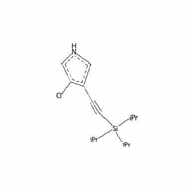 CC(C)[Si](C#Cc1c[nH]cc1Cl)(C(C)C)C(C)C